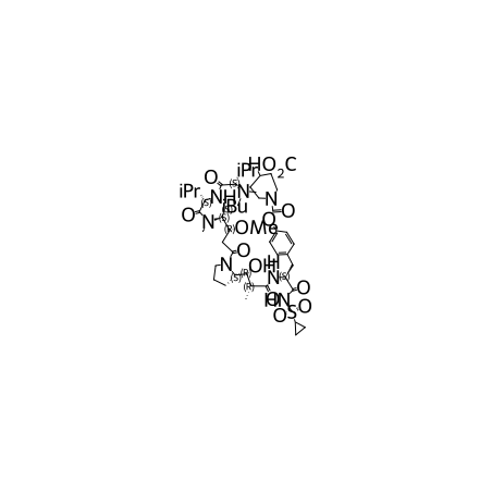 CC[C@H](C)[C@@H]([C@@H](CC(=O)N1CCC[C@H]1[C@H](O)[C@@H](C)C(=O)N[C@@H](Cc1ccc(OC(=O)N2CCC(C(=O)O)CC2)cc1)C(=O)NS(=O)(=O)C1CC1)OC)N(C)C(=O)[C@@H](NC(=O)[C@H](C(C)C)N(C)C)C(C)C